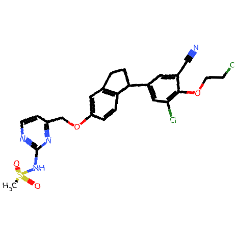 CS(=O)(=O)Nc1nccc(COc2ccc3c(c2)CCC3c2cc(Cl)c(OCCCl)c(C#N)c2)n1